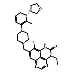 CCN1C(=O)Nc2c(F)c(CN3CCN(C4=C(C)N([C@@H]5CCOC5)CC=C4)CC3)cc3ncnc1c23